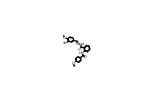 COc1ccc(C(=O)Nc2ccccc2C(=O)N/N=C/c2ccc(OC)c(Br)c2)cc1